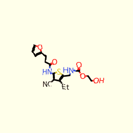 CCc1c(CNC(=O)OCCO)sc(NC(=O)CCc2ccco2)c1C#N